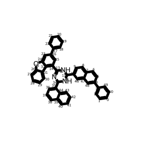 c1ccc(-c2ccc3ccc(C4NC(c5cc(-c6ccccc6)cc6oc7ccccc7c56)=NC(c5cccc6ccccc56)N4)cc3c2)cc1